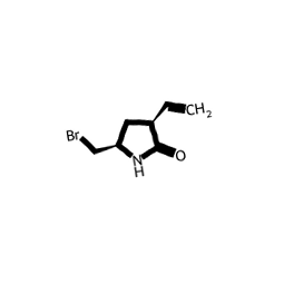 C=C[C@@H]1C[C@H](CBr)NC1=O